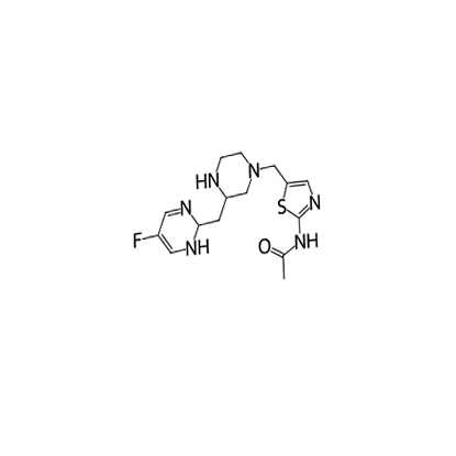 CC(=O)Nc1ncc(CN2CCNC(CC3N=CC(F)=CN3)C2)s1